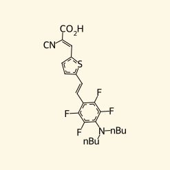 [C-]#[N+]/C(=C\c1ccc(/C=C/c2c(F)c(F)c(N(CCCC)CCCC)c(F)c2F)s1)C(=O)O